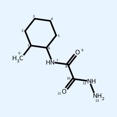 CC1CCCCC1NC(=O)C(=O)NN